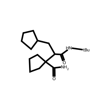 CC(C)(C)NC(=O)C(CC1CCCC1)C1(C(N)=O)CCCC1